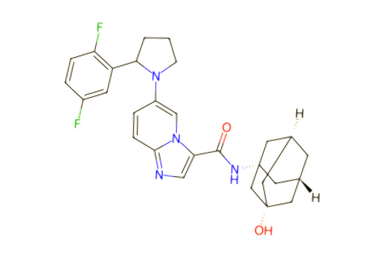 O=C(N[C@]12C[C@@H]3C[C@@H](C[C@@](O)(C3)C1)C2)c1cnc2ccc(N3CCCC3c3cc(F)ccc3F)cn12